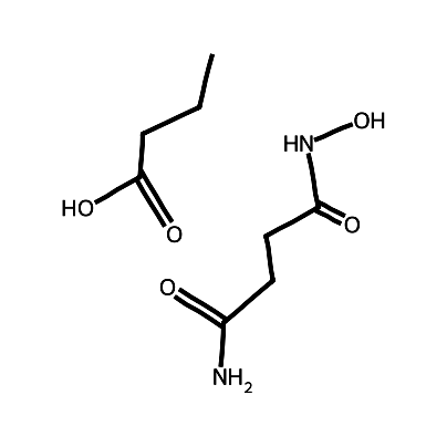 CCCC(=O)O.NC(=O)CCC(=O)NO